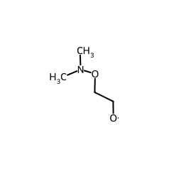 CN(C)OCC[O]